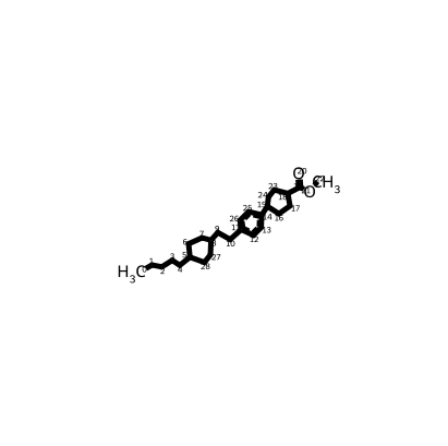 CCCCCC1CCC(CCc2ccc(C3CCC(C(=O)OC)CC3)cc2)CC1